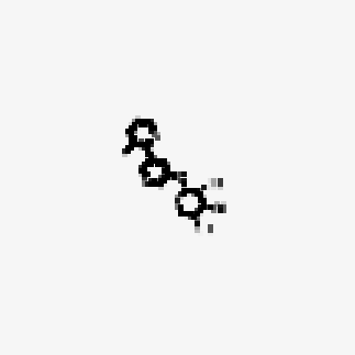 Cc1cccnc1-c1cncc(O[C@@H]2SC[C@@H](O)[C@H](O)[C@H]2O)c1